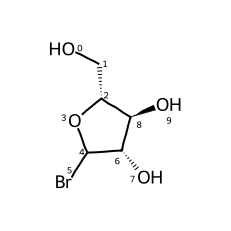 OC[C@H]1OC(Br)[C@@H](O)[C@@H]1O